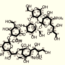 CC(=O)N[C@H]1[C@H](O[C@@H]2[C@H](O[C@]3(C(=O)O)C[C@H](O)[C@@H](NC(C)=O)[C@H]([C@H](O)[C@H](O)CO)O3)[C@@H](O)[C@H](O)O[C@@H]2CO)O[C@H](CO)[C@H](O)[C@@H]1O[C@@H]1O[C@H](CO)[C@H](O)[C@H](O[C@]2(C(=O)O)C[C@H](O)[C@@H](NC(C)=O)[C@H]([C@H](O)[C@@H](CO)O[C@]3(C(=O)O)C[C@H](O)[C@@H](NC(C)=O)[C@H]([C@H](O)[C@H](O)CO)O3)O2)[C@H]1O